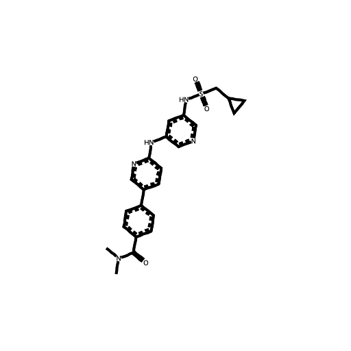 CN(C)C(=O)c1ccc(-c2ccc(Nc3cncc(NS(=O)(=O)CC4CC4)c3)nc2)cc1